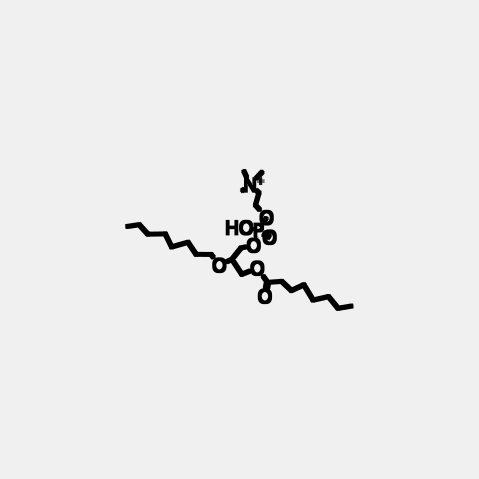 CCCCCCCCOC(COC(=O)CCCCCCC)COP(=O)(O)OCC[N+](C)(C)C